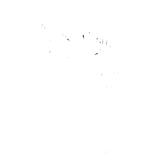 CC(C)OC(=O)CCCO[P@]1(=O)OC[C@H]2O[C@@H](n3ccc(=O)[nH]c3=O)[C@](C)(N)[C@@H]2O1